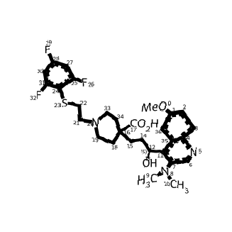 COc1ccc2ncc(N(C)C)c([C@@H](O)CCC3(C(=O)O)CCN(CCSc4c(F)cc(F)cc4F)CC3)c2c1